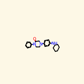 O=C1CN(c2ccc(NC3CCCCC3)cc2)CCN1c1ccccc1